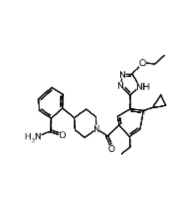 CCOc1nnc(-c2cc(C(=O)N3CCC(c4ccccc4C(N)=O)CC3)c(CC)cc2C2CC2)[nH]1